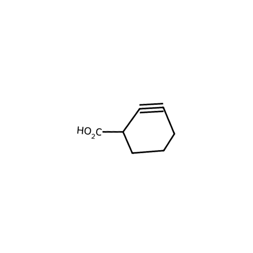 O=C(O)C1C#CCCC1